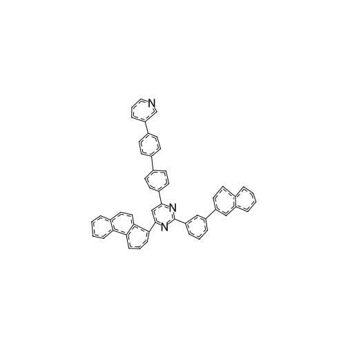 c1cncc(-c2ccc(-c3ccc(-c4cc(-c5cccc6c5ccc5ccccc56)nc(-c5cccc(-c6ccc7ccccc7c6)c5)n4)cc3)cc2)c1